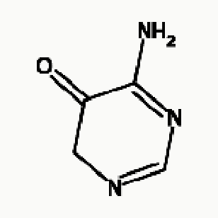 NC1=NC=NCC1=O